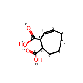 O=C(O)C1C=CCCCCC1C(=O)O